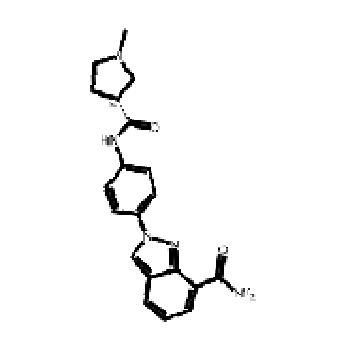 CN1CC[C@@H](C(=O)Nc2ccc(-n3cc4cccc(C(N)=O)c4n3)cc2)C1